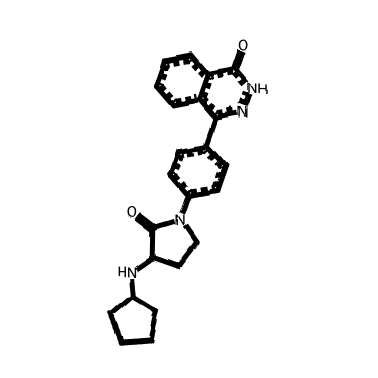 O=C1C(NC2CCCC2)CCN1c1ccc(-c2n[nH]c(=O)c3ccccc23)cc1